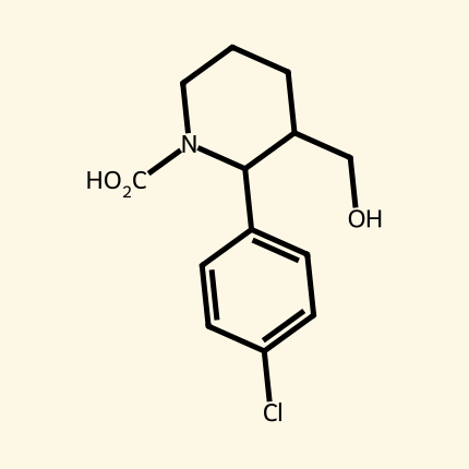 O=C(O)N1CCCC(CO)C1c1ccc(Cl)cc1